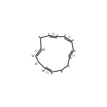 [CH]1/C=C/C=C\C=C\CC/C=C\C/C=C/1